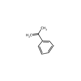 C=C(C)c1c[c]ccc1